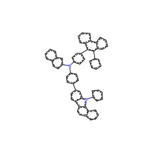 c1ccc(-c2c(-c3ccc(N(c4ccc(-c5ccc6c7ccc8ccccc8c7n(-c7ccccc7)c6c5)cc4)c4ccc5ccccc5c4)cc3)c3ccccc3c3ccccc23)cc1